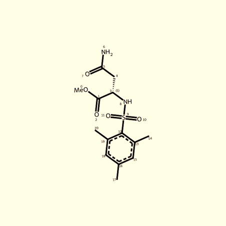 COC(=O)[C@H](CC(N)=O)NS(=O)(=O)c1c(C)cc(C)cc1C